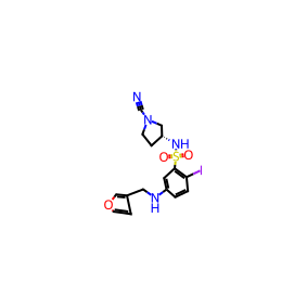 N#CN1CC[C@@H](NS(=O)(=O)c2cc(NCc3ccoc3)ccc2I)C1